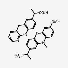 CC(C(=O)O)c1ccc2c(c1)Cc1cccnc1O2.COc1ccc2c(c1)Sc1ccc(C(C)C(=O)O)cc1N2C